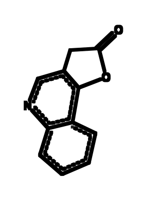 O=C1Cc2cnc3ccccc3c2O1